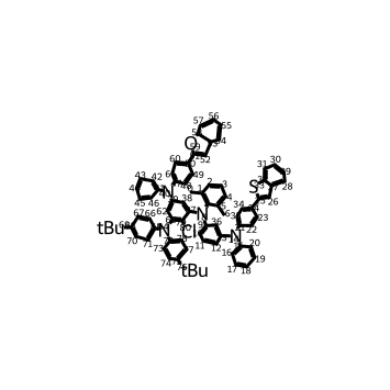 Cc1cccc(C)c1N(c1cccc(N(c2ccccc2)c2ccc(-c3cc4ccccc4s3)cc2)c1)c1cc(N(c2ccccc2)c2ccc(C3=CC4C=CC=CC4O3)cc2)cc(N(c2ccc(C(C)(C)C)cc2)c2ccc(C(C)(C)C)cc2)c1Cl